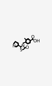 Cc1cc(C(=O)O)ccc1CN1C(=O)CSC1c1cccnc1